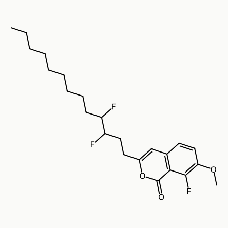 CCCCCCCCCC(F)C(F)CCc1cc2ccc(OC)c(F)c2c(=O)o1